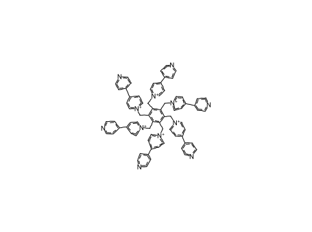 c1cc(-c2cc[n+](Cc3c(C[n+]4ccc(-c5ccncc5)cc4)c(C[n+]4ccc(-c5ccncc5)cc4)c(C[n+]4ccc(-c5ccncc5)cc4)c(C[n+]4ccc(-c5ccncc5)cc4)c3C[n+]3ccc(-c4ccncc4)cc3)cc2)ccn1